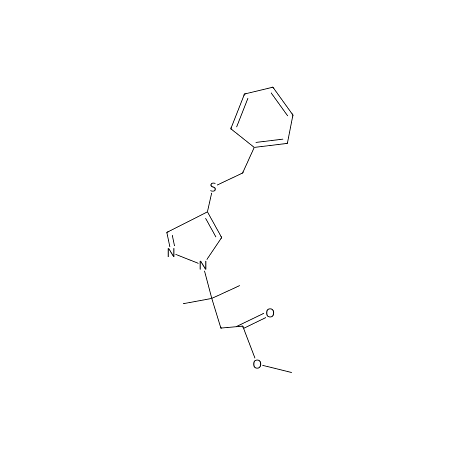 COC(=O)CC(C)(C)n1cc(SCc2ccccc2)cn1